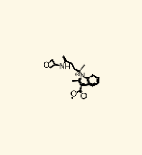 C=C(CC[C@@H](C)n1c(C)c(C(=O)OC)c2ccccc21)NC1COC1